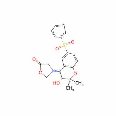 CC1(C)Oc2ccc(S(=O)(=O)c3ccccc3)cc2[C@H](N2COC(=O)C2)[C@H]1O